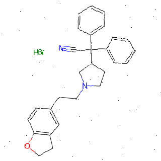 Br.N#CC(c1ccccc1)(c1ccccc1)C1CCN(CCc2ccc3c(c2)CCO3)C1